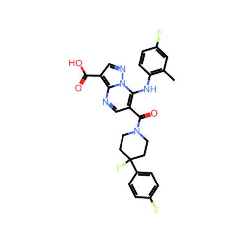 Cc1cc(F)ccc1Nc1c(C(=O)N2CCC(F)(c3ccc(F)cc3)CC2)cnc2c(C(=O)O)cnn12